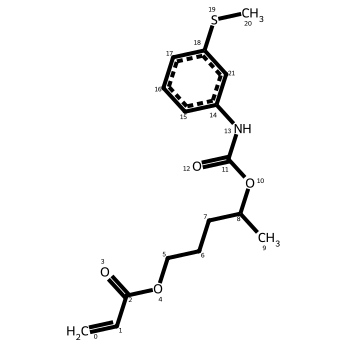 C=CC(=O)OCCCC(C)OC(=O)Nc1cccc(SC)c1